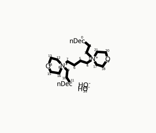 CCCCCCCCCCCC[N+]1(CCCC[N+]2(CCCCCCCCCCCC)CCOCC2)CCOCC1.[OH-].[OH-]